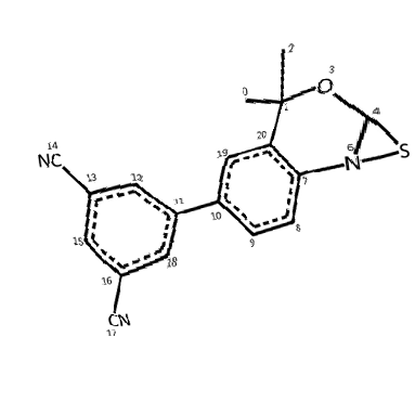 CC1(C)OC2SN2c2ccc(-c3cc(C#N)cc(C#N)c3)cc21